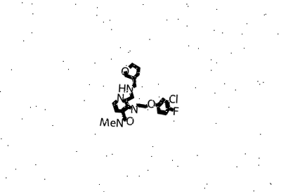 CNC(=O)c1ccnc(CNCC2CCCOC2)c1/N=C/COc1ccc(F)c(Cl)c1